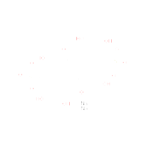 O=C1c2c(O)c(O)c(S(=O)(=O)[O-])c(O)c2C(=O)c2c(O)c(O)c(S(=O)(=O)[O-])c(O)c21.[Na+].[Na+]